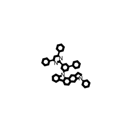 c1ccc(-c2cc(-c3nc(-c4ccccc4)cc(-c4ccccc4)n3)cc(-n3c4ccccc4c4ccc5cc6c(ccn6-c6ccccc6)cc5c43)c2)cc1